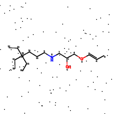 CC=COCC(O)CNCCC[Si](CC)(CC)CC